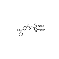 CNC(=O)c1c(NC)ncn1CC(=O)Nc1ccc(N(c2ccccc2)C(C)C)cc1